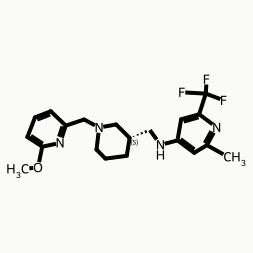 COc1cccc(CN2CCC[C@@H](CNc3cc(C)nc(C(F)(F)F)c3)C2)n1